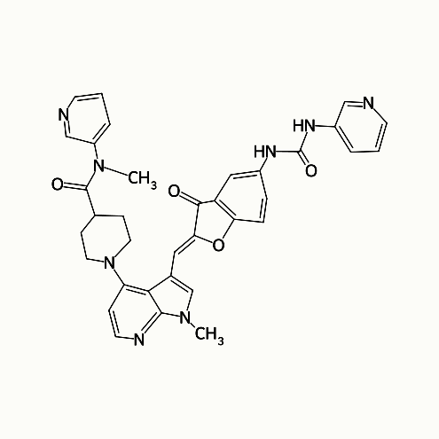 CN(C(=O)C1CCN(c2ccnc3c2c(C=C2Oc4ccc(NC(=O)Nc5cccnc5)cc4C2=O)cn3C)CC1)c1cccnc1